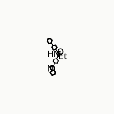 CC[C@@H](NC(=O)c1ccc(-c2ccccc2)cc1)[C@H]1CC[C@H](c2cnc3ccccc3c2)CC1